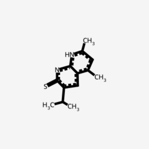 Cc1cc(C)c2cc(C(C)C)c(=S)nc-2[nH]1